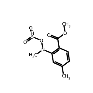 COC(=O)c1ccc(C)cc1N(C)O[SH](=O)=O